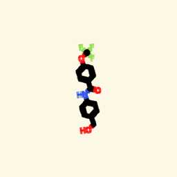 O=C(Nc1ccc(CO)cc1)c1ccc(OC(F)(F)F)cc1